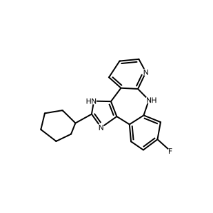 Fc1ccc2c(c1)Nc1ncccc1-c1[nH]c(C3CCCCC3)nc1-2